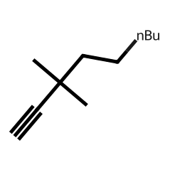 C#CC(C)(C)CCCCC[CH2]